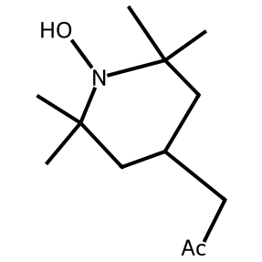 CC(=O)CC1CC(C)(C)N(O)C(C)(C)C1